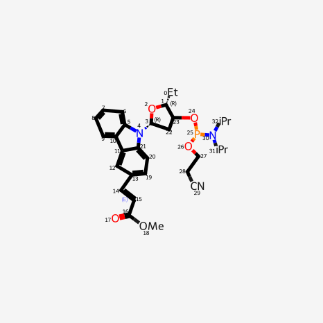 CC[C@H]1O[C@@H](n2c3ccccc3c3cc(/C=C/C(=O)OC)ccc32)CC1OP(OCCC#N)N(C(C)C)C(C)C